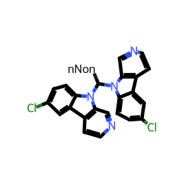 CCCCCCCCCC(n1c2ccc(Cl)cc2c2ccncc21)n1c2ccc(Cl)cc2c2ccncc21